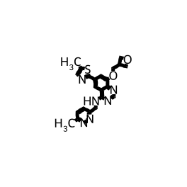 Cc1ccc(CNc2ncnc3c(OCC4COC4)cc(-c4ncc(C)s4)cc23)nn1